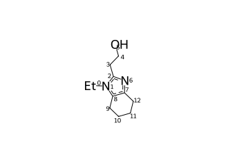 CCn1c(CCO)nc2c1CCCC2